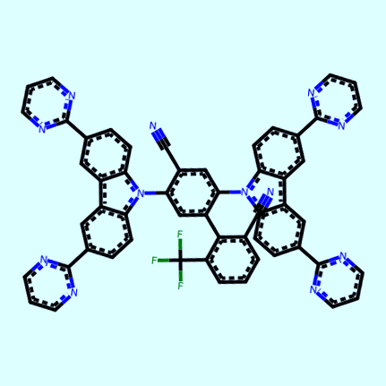 N#Cc1cc(-n2c3ccc(-c4ncccn4)cc3c3cc(-c4ncccn4)ccc32)c(-c2c(C#N)cccc2C(F)(F)F)cc1-n1c2ccc(-c3ncccn3)cc2c2cc(-c3ncccn3)ccc21